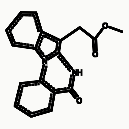 COC(=O)Cc1c2ccccc2n2c1[nH]c(=O)c1ccccc12